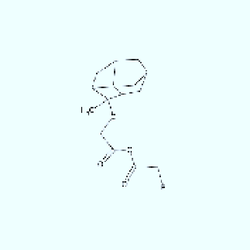 CC1(OCC(=O)OC(=O)CBr)C2CC3CC(C2)CC1C3